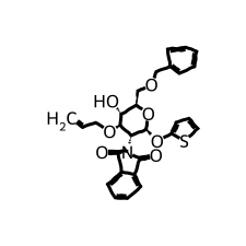 C=CCO[C@H]1[C@H](O)[C@@H](COCc2ccccc2)O[C@@H](Oc2cccs2)[C@@H]1N1C(=O)c2ccccc2C1=O